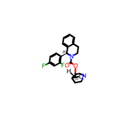 O=C(O[C@@H]1CN2CCC1CC2)N1CCc2ccccc2[C@@H]1c1ccc(F)cc1F